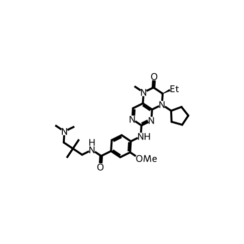 CC[C@@H]1C(=O)N(C)c2cnc(Nc3ccc(C(=O)NCC(C)(C)CN(C)C)cc3OC)nc2N1C1CCCC1